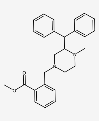 COC(=O)c1ccccc1CN1CCN(C)C(C(c2ccccc2)c2ccccc2)C1